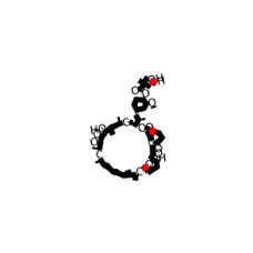 CO[C@@H]1C[C@H](C[C@@H](C)[C@@H]2CC[C@H](C)/C=C(\C)[C@@H](O)[C@@H](OC)C(=O)[C@H](C)C[C@H](C)/C=C/C=C/C=C(\C)C(C)C[C@@H]3CC[C@@H](C)[C@@](O)(O3)C(=O)C(=O)N3CCCC[C@H]3C(=O)O2)CC[C@H]1OC(=O)C(C)(CO)CO